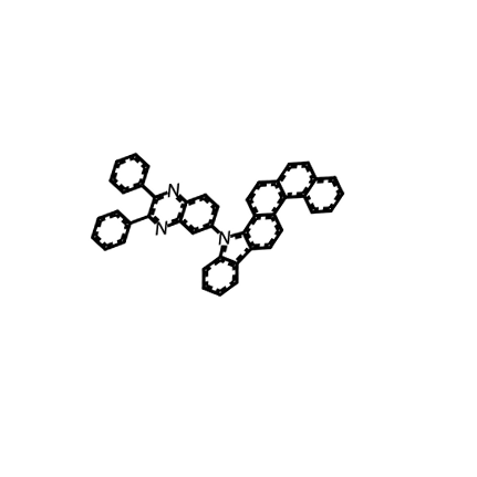 c1ccc(-c2nc3ccc(-n4c5ccccc5c5ccc6c(ccc7ccc8ccccc8c76)c54)cc3nc2-c2ccccc2)cc1